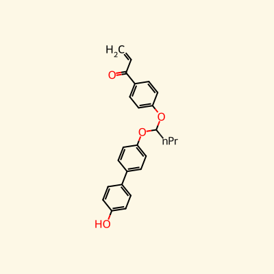 C=CC(=O)c1ccc(OC(CCC)Oc2ccc(-c3ccc(O)cc3)cc2)cc1